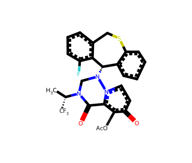 CC(=O)Oc1c2n(ccc1=O)N([C@H]1c3ccccc3SCc3cccc(F)c31)CN([C@@H](C)C(F)(F)F)C2=O